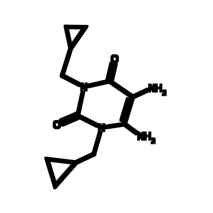 Nc1c(N)n(CC2CC2)c(=O)n(CC2CC2)c1=O